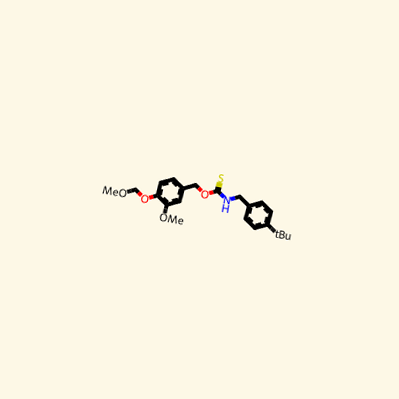 COCOc1ccc(COC(=S)NCc2ccc(C(C)(C)C)cc2)cc1OC